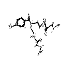 CCc1ccc(C(=O)N(CCNC(=O)CSC(C)=O)CCNC(=O)CSC(C)=O)cc1